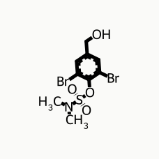 CN(C)S(=O)(=O)Oc1c(Br)cc(CO)cc1Br